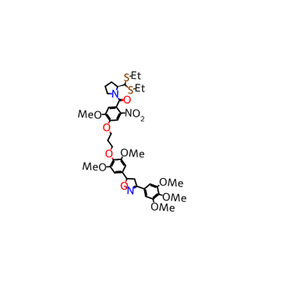 CCSC(SCC)[C@@H]1CCCN1C(=O)c1cc(OC)c(OCCCOc2c(OC)cc(C3CC(c4cc(OC)c(OC)c(OC)c4)=NO3)cc2OC)cc1[N+](=O)[O-]